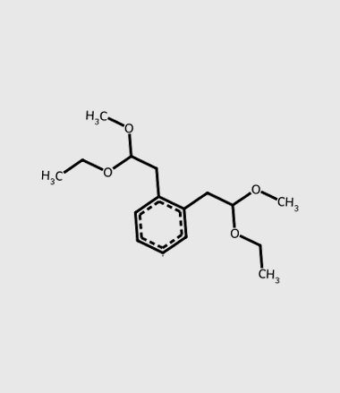 CCOC(Cc1c[c]ccc1CC(OC)OCC)OC